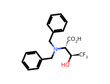 O=C(O)[C@H]([C@H](O)C(F)(F)F)N(Cc1ccccc1)Cc1ccccc1